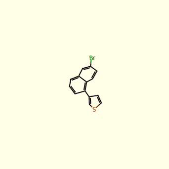 Brc1ccc2c(-c3ccsc3)cccc2c1